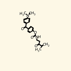 C=C(C)C(=O)CCNC(=O)Oc1ccc(C(=O)c2ccc(N(C)C)cc2)cc1